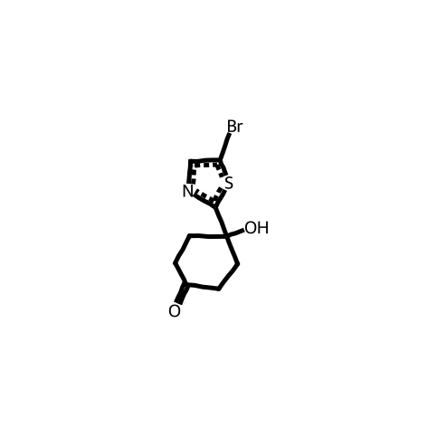 O=C1CCC(O)(c2ncc(Br)s2)CC1